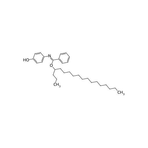 CCCCCCCCCCCCCCC(CCC)OC(=Nc1ccc(O)cc1)c1ccccc1